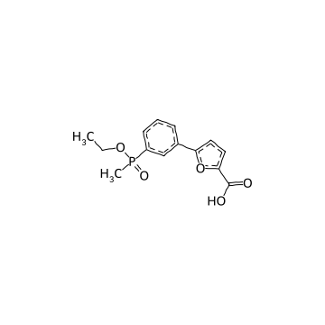 CCOP(C)(=O)c1cccc(-c2ccc(C(=O)O)o2)c1